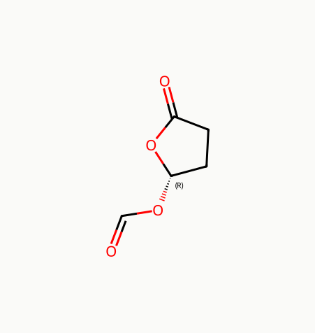 O=CO[C@H]1CCC(=O)O1